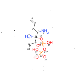 C=CCC(N)C(N)(CC=C)OP(=O)(O)OP(=O)(O)O